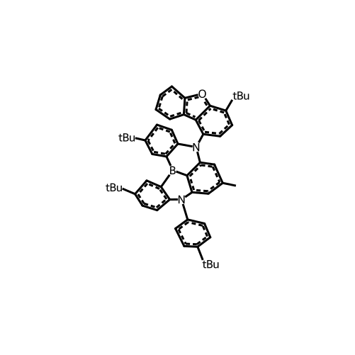 Cc1cc2c3c(c1)N(c1ccc(C(C)(C)C)c4oc5ccccc5c14)c1ccc(C(C)(C)C)cc1B3c1cc(C(C)(C)C)ccc1N2c1ccc(C(C)(C)C)cc1